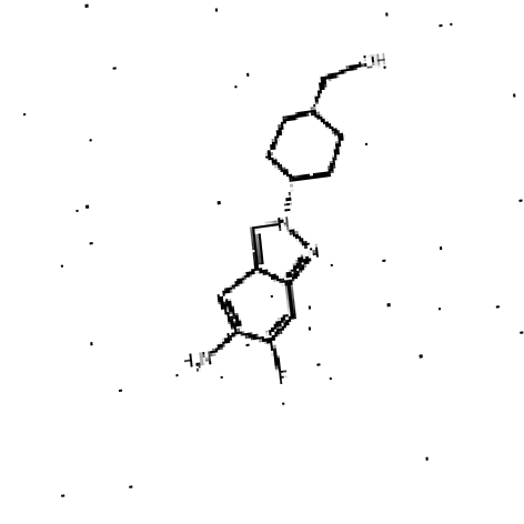 Nc1cc2cn([C@H]3CC[C@H](CO)CC3)nc2cc1F